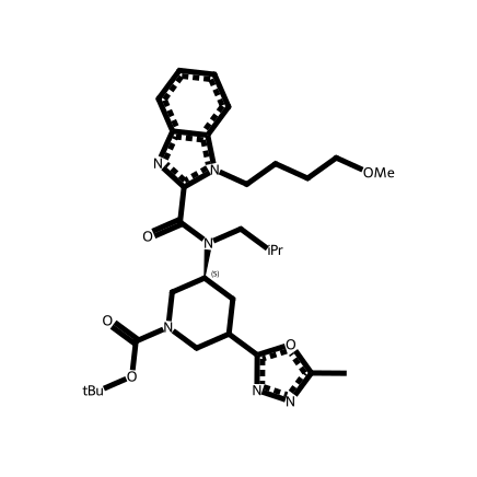 COCCCCn1c(C(=O)N(CC(C)C)[C@H]2CC(c3nnc(C)o3)CN(C(=O)OC(C)(C)C)C2)nc2ccccc21